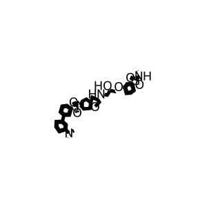 CNS(=O)(=O)c1cccc(OCC(O)CNC2COC3(CCN(S(=O)(=O)c4cccc(-c5cccc(N(C)C)c5)c4)CC3)C2)c1